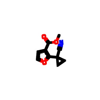 COC(=O)c1ccoc1C1(C#N)CC1